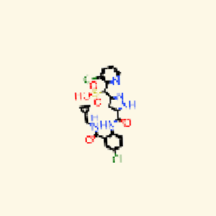 O=C(NCC1CC1)c1cc(Cl)ccc1NC(=O)C1CC(C(c2ncccc2Cl)S(=O)(=O)O)=NN1